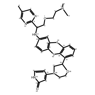 Cc1cnc(C(COCCN(C)C)Nc2ccc3c(c2)Sc2cccc(C4CN(c5cc[nH]c(=O)c5)CCO4)c2S3)nc1